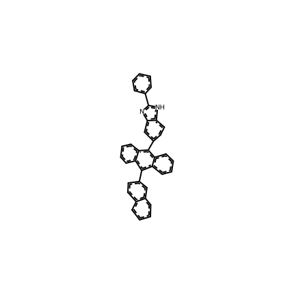 c1ccc(-c2nc3cc(-c4c5ccccc5c(-c5ccc6ccccc6c5)c5ccccc45)ccc3[nH]2)cc1